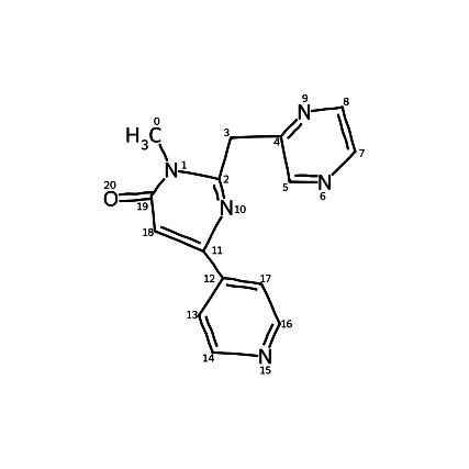 Cn1c(Cc2cnccn2)nc(-c2ccncc2)cc1=O